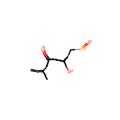 C=C(C)C(=O)C(O)C[PH]=O